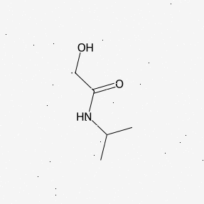 CC(C)NC(=O)[CH]O